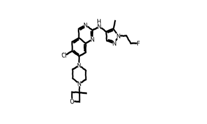 Cc1c(Nc2ncc3cc(Cl)c(N4CCN(C5(C)COC5)CC4)cc3n2)cnn1CCF